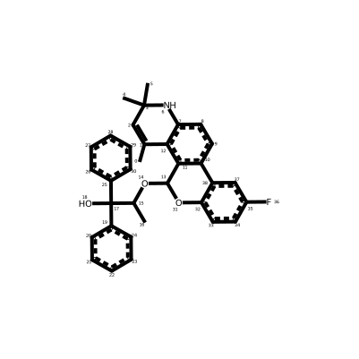 CC1=CC(C)(C)Nc2ccc3c(c21)C(OC(C)C(O)(c1ccccc1)c1ccccc1)Oc1ccc(F)cc1-3